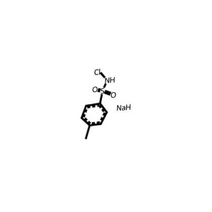 Cc1ccc(S(=O)(=O)NCl)cc1.[NaH]